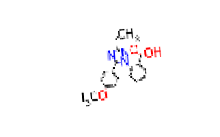 CCc1nc(-c2ccc(OC)cc2)n(-c2ccccc2C(=O)O)n1